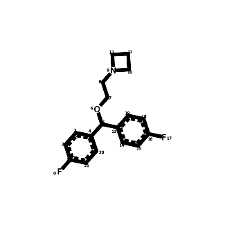 Fc1ccc(C(OCCN2CCC2)c2ccc(F)cc2)cc1